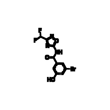 O=C(Nc1nc(C(F)F)no1)c1cc(O)cc(Br)c1